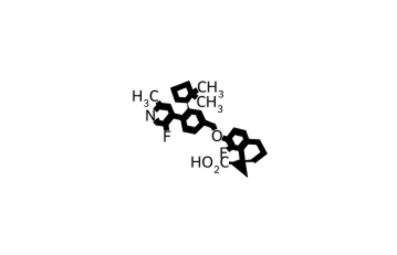 Cc1cc(-c2ccc(COc3ccc4c(c3F)[C@]3(CCC4)C[C@H]3C(=O)O)cc2[C@@H]2CCCC2(C)C)c(F)cn1